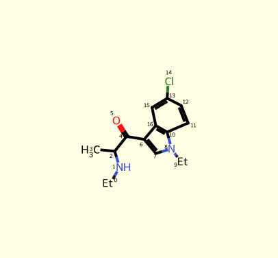 CCNC(C)C(=O)c1cn(CC)c2ccc(Cl)cc12